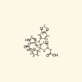 O=C(O)CC1CCC(Cc2cc3c(cc2Cl)OCO3)(Sc2nc[nH]c2C(=O)O)C(c2ccco2)C1